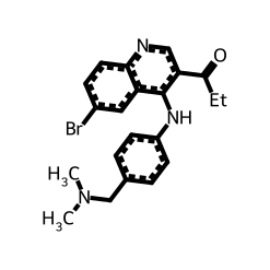 CCC(=O)c1cnc2ccc(Br)cc2c1Nc1ccc(CN(C)C)cc1